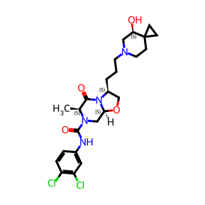 C[C@H]1C(=O)N2[C@@H](CCCN3CCC4(CC4)[C@H](O)C3)CO[C@H]2CN1C(=O)Nc1ccc(Cl)c(Cl)c1